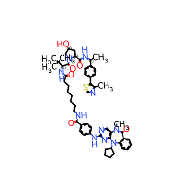 Cc1ncsc1-c1ccc([C@H](C)NC(=O)[C@@H]2C[C@@H](O)CN2C(=O)[C@@H](NC(=O)CCCCCCCNC(=O)c2ccc(Nc3ncc4c(n3)N(C3CCCC3)c3ccccc3C(=O)N4C)cc2)C(C)(C)C)cc1